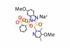 COc1ccc2nc([S+]([O-])Cc3ncc(C)c(OC)c3C)n(S(=O)(=O)c3ccccc3S(=O)(=O)[O-])c2c1.[Na+]